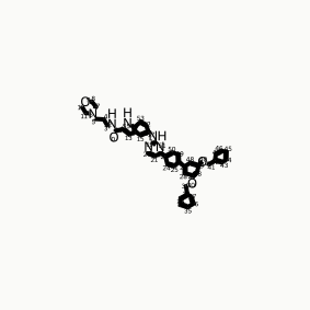 O=C(NCCCN1CCOCC1)c1cc2cc(Nc3nccc(-c4ccc(-c5cc(OCc6ccccc6)cc(OCc6ccccc6)c5)cc4)n3)ccc2[nH]1